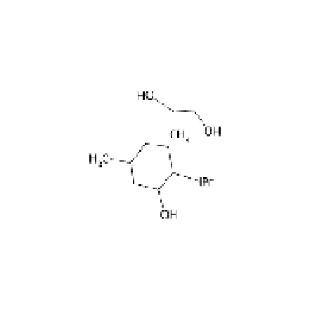 C.CC1CCC(C(C)C)C(O)C1.OCCO